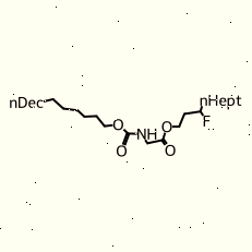 CCCCCCCCCCCCCCCCOC(=O)NCC(=O)OCCC(F)CCCCCCC